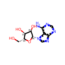 Nc1ncnc2ncn([C@@H]3O[C@H](CO)[C@@H](O)[C@H]3O)c12